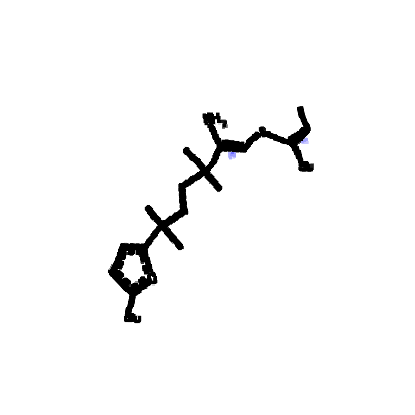 C/C=C(\S/C=C(\N)C(C)(C)CCC(C)(C)c1ccc(C(C)(C)C)o1)C(C)(C)C